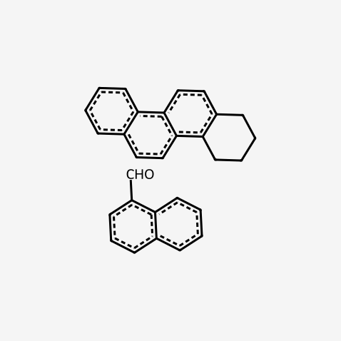 O=Cc1cccc2ccccc12.c1ccc2c(c1)ccc1c3c(ccc12)CCCC3